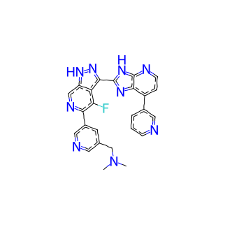 CN(C)Cc1cncc(-c2ncc3[nH]nc(-c4nc5c(-c6cccnc6)ccnc5[nH]4)c3c2F)c1